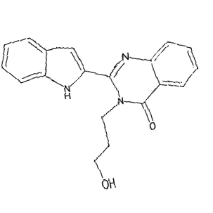 O=c1c2ccccc2nc(-c2cc3ccccc3[nH]2)n1CCCO